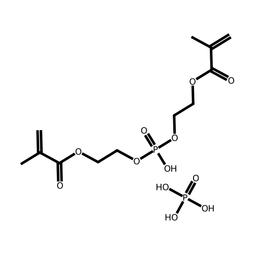 C=C(C)C(=O)OCCOP(=O)(O)OCCOC(=O)C(=C)C.O=P(O)(O)O